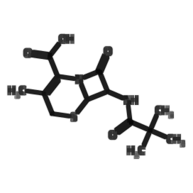 CC1=C(C(=O)O)N2C(=O)C(NC(=O)C(C)(C)C)C2SC1